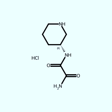 Cl.NC(=O)C(=O)N[C@@H]1CCCNC1